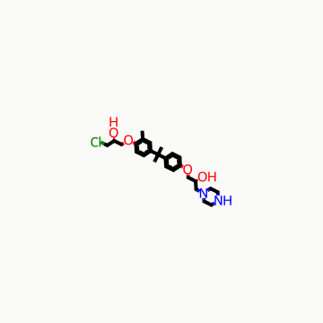 Cc1cc(C(C)(C)c2ccc(OC[C@@H](O)CN3CCNCC3)cc2)ccc1OC[C@H](O)CCl